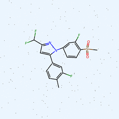 Cc1ccc(-c2cc(C(F)F)nn2-c2ccc(S(C)(=O)=O)c(F)c2)cc1F